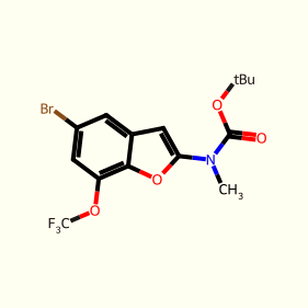 CN(C(=O)OC(C)(C)C)c1cc2cc(Br)cc(OC(F)(F)F)c2o1